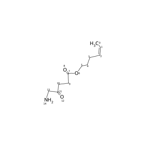 C/C=C\CCCOC(=O)CCC(=O)CN